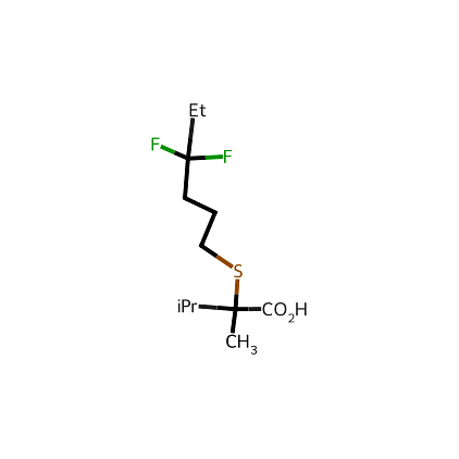 CCC(F)(F)CCCSC(C)(C(=O)O)C(C)C